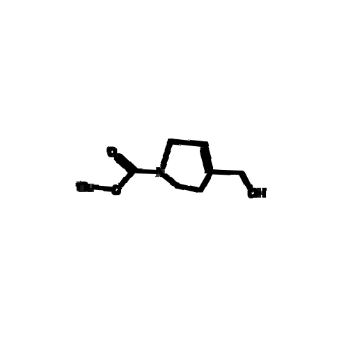 CC(C)(C)OC(=O)N1CC=C(CO)CC1